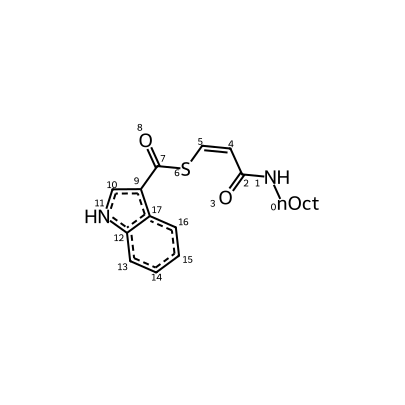 CCCCCCCCNC(=O)/C=C\SC(=O)c1c[nH]c2ccccc12